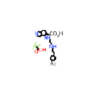 CC(=O)c1ccc(CCCNCCCn2nc3c(c2C(=O)O)CCc2cnccc2-3)cc1.O=C(O)C(F)(F)F